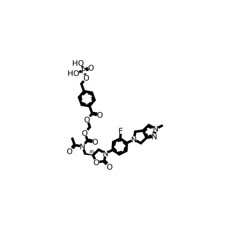 CC(=O)N(C[C@H]1CN(c2ccc(N3Cc4cn(C)nc4C3)c(F)c2)C(=O)O1)C(=O)OCOC(=O)c1ccc(COP(=O)(O)O)cc1